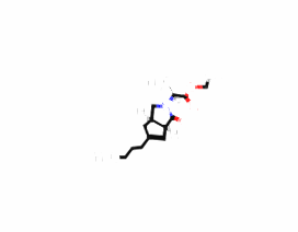 CCCCC1=C[C@@H]2C(=O)N([C@@H](C)C(=O)OCC)C[C@@H]2C1